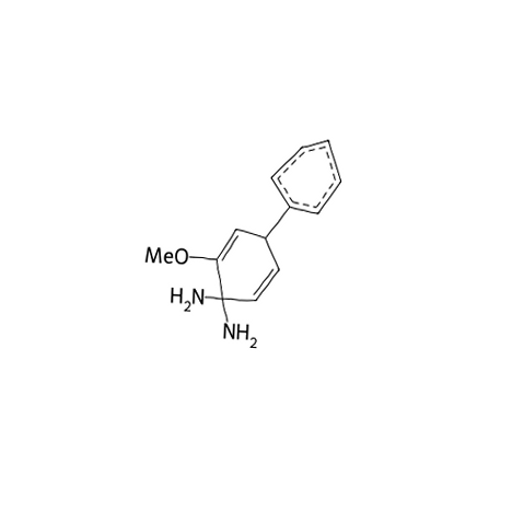 COC1=CC(c2ccccc2)C=CC1(N)N